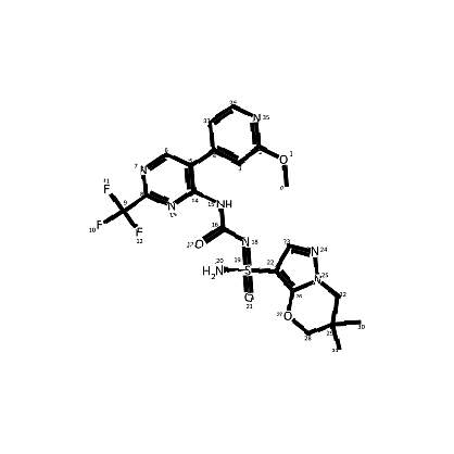 COc1cc(-c2cnc(C(F)(F)F)nc2NC(=O)N=[S@@](N)(=O)c2cnn3c2OCC(C)(C)C3)ccn1